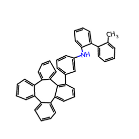 Cc1ccccc1-c1ccccc1Nc1cccc(-c2cccc3c2-c2ccccc2-c2ccccc2-c2ccccc2-3)c1